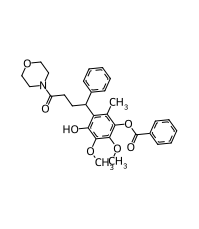 COc1c(O)c(C(CCC(=O)N2CCOCC2)c2ccccc2)c(C)c(OC(=O)c2ccccc2)c1OC